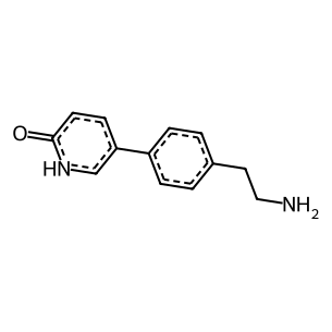 NCCc1ccc(-c2ccc(=O)[nH]c2)cc1